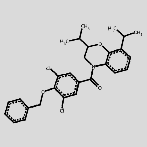 CC(C)c1cccc2c1OC(C(C)C)CN2C(=O)c1cc(Cl)c(OCc2ccccc2)c(Cl)c1